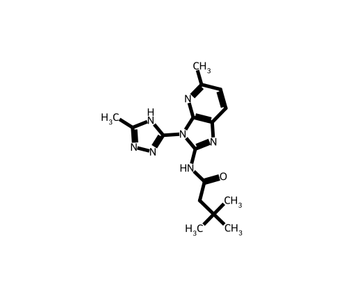 Cc1ccc2nc(NC(=O)CC(C)(C)C)n(-c3nnc(C)[nH]3)c2n1